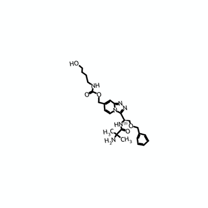 CC(C)(N)C(=O)N[C@H](COCc1ccccc1)c1nnc2cc(COC(=O)NCCCCO)ccn12